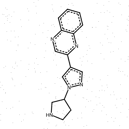 c1ccc2nc(-c3cnn(C4CCNC4)c3)cnc2c1